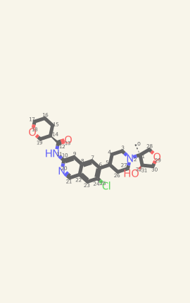 C[C@]1(N2CCC(c3cc4cc(NC(=O)[C@@H]5CCCOC5)ncc4cc3Cl)CC2)COC[C@H]1O